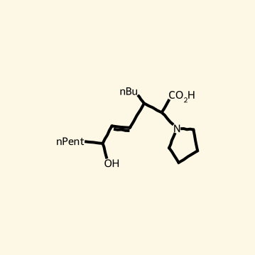 CCCCCC(O)C=CC(CCCC)C(C(=O)O)N1CCCC1